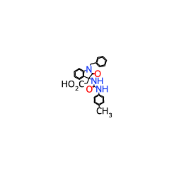 Cc1ccc(NC(=O)NC2(CC(=O)O)C(=O)N(Cc3ccccc3)c3ccccc32)cc1